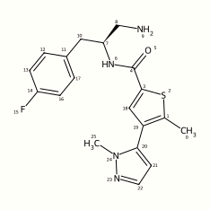 Cc1sc(C(=O)N[C@H](CN)Cc2ccc(F)cc2)cc1-c1ccnn1C